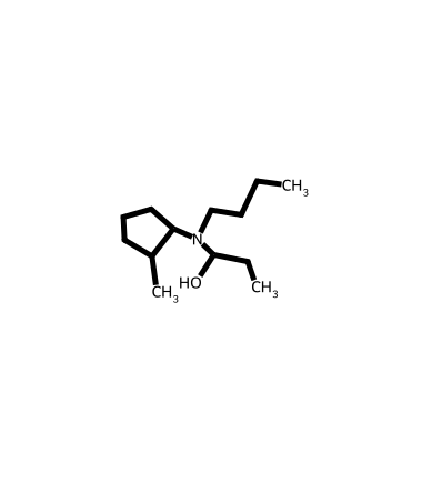 CCCCN(C(O)CC)C1CCCC1C